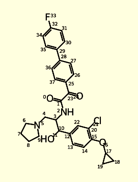 O=C(NC(CN1CCCC1)C(O)c1ccc(OC2CC2)c(Cl)c1)C(=O)c1ccc(-c2ccc(F)cc2)cc1